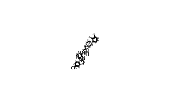 CCc1nc2c(NCC(O)CN3CCN(c4cccc(C)c4C)CC3)ncnc2n1-c1ccc(Cl)cc1